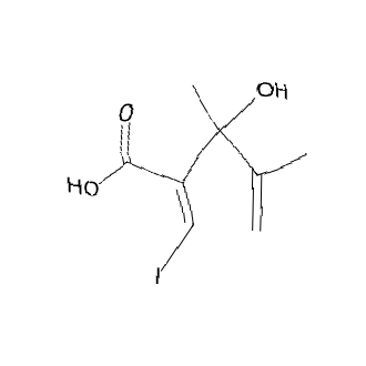 C=C(C)C(C)(O)C(=CI)C(=O)O